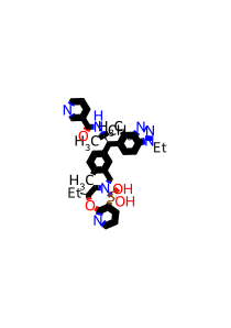 CC[C@@H]1CN(Cc2cc([C@@H](c3ccc4c(nnn4CC)c3C)C(C)(C)NC(=O)c3cccnc3)ccc2C)S(O)(O)c2cccnc2O1